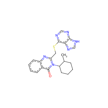 CC1CCCCC1n1c(CSc2ncnc3[nH]cnc23)nc2ccccc2c1=O